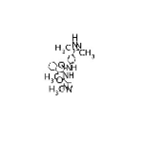 Cc1n[nH]c(C)c1-c1ccc(NC(=O)[C@@H](NC(=O)c2ccnn2C)C(C)C2CCCCC2)cc1